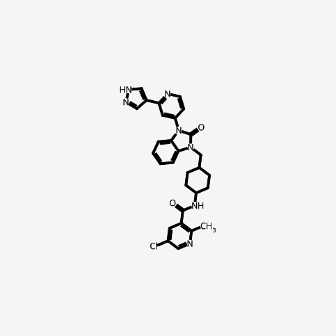 Cc1ncc(Cl)cc1C(=O)NC1CCC(Cn2c(=O)n(-c3ccnc(-c4cn[nH]c4)c3)c3ccccc32)CC1